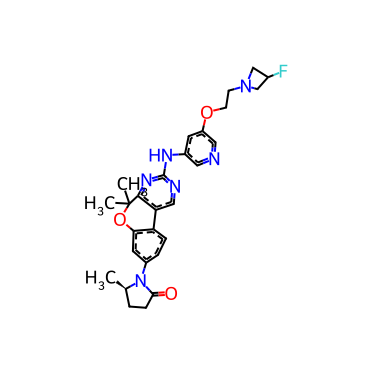 C[C@@H]1CCC(=O)N1c1ccc2c(c1)OC(C)(C)c1nc(Nc3cncc(OCCN4CC(F)C4)c3)ncc1-2